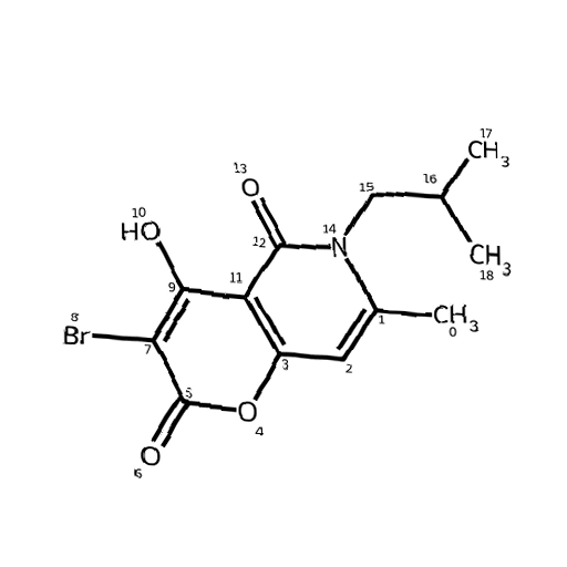 Cc1cc2oc(=O)c(Br)c(O)c2c(=O)n1CC(C)C